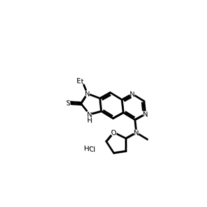 CCn1c(=S)[nH]c2cc3c(N(C)C4CCCO4)ncnc3cc21.Cl